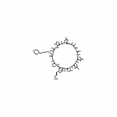 CC[C@@H]1NC(=O)[C@@H]2[C@@H]([C@H](C)C/C=C/CO)ON2C(=O)[C@H](C(C)C)N(C)C(=O)[C@H](CC(C)C)N(C)C(=O)[C@H](CC(C)C)N(C)C(=O)CNC(=O)C(C)NC(=O)[C@H](CC(C)C)N(C)C(=O)C(C(C)C)NC(=O)C([C@@H](C)OCCCCN2CCOCC2)N(C)C(=O)[C@@H](C)N(C)C1=O